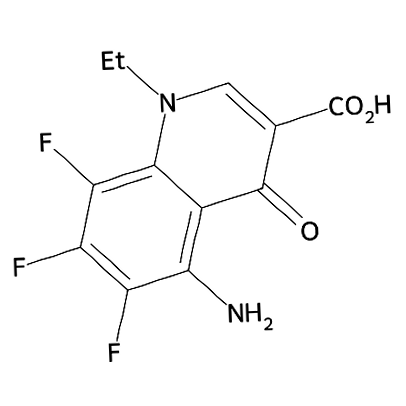 CCn1cc(C(=O)O)c(=O)c2c(N)c(F)c(F)c(F)c21